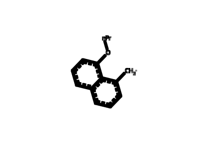 [CH2]c1cccc2cccc(OCCC)c12